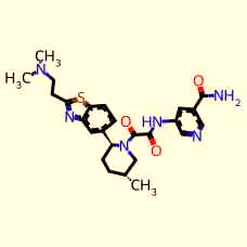 C[C@@H]1CC[C@@H](c2ccc3sc(CCN(C)C)nc3c2)N(C(=O)C(=O)Nc2cncc(C(N)=O)c2)C1